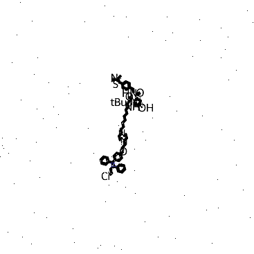 Cc1ncsc1-c1ccc(CNC(=O)[C@@H]2C[C@@H](O)CN2C(=O)[C@@H](NCCCCCCCN2CCN(CCOc3ccc(/C(=C(/CCCl)c4ccccc4)c4ccccc4)cc3)CC2)C(C)(C)C)cc1